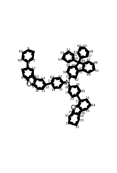 c1ccc(-c2ccc3oc4ccc(-c5ccc(N(c6ccc(-c7cccc8c7oc7ccccc78)cc6)c6ccc7c(c6)-c6ccccc6C7(c6ccccc6)c6ccccc6)cc5)cc4c3c2)cc1